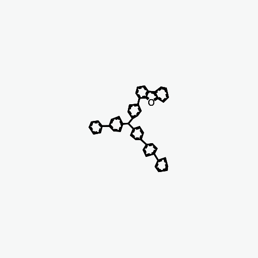 c1ccc(-c2ccc(-c3ccc(C(c4ccc(-c5ccccc5)cc4)c4ccc(-c5cccc6c5oc5ccccc56)cc4)cc3)cc2)cc1